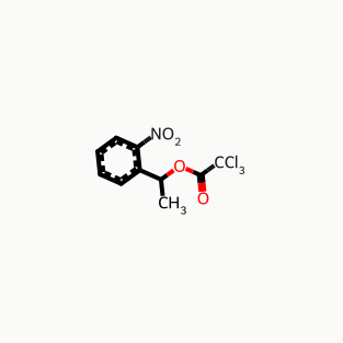 CC(OC(=O)C(Cl)(Cl)Cl)c1ccccc1[N+](=O)[O-]